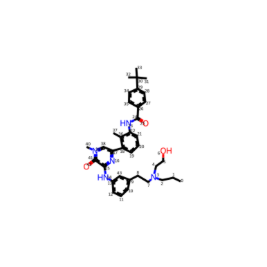 CCCN(CCO)CCc1cccc(Nc2nc(-c3cccc(NC(=O)c4ccc(C(C)(C)C)cc4)c3C)cn(C)c2=O)c1